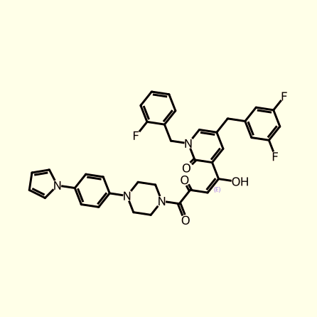 O=C(/C=C(/O)c1cc(Cc2cc(F)cc(F)c2)cn(Cc2ccccc2F)c1=O)C(=O)N1CCN(c2ccc(-n3cccc3)cc2)CC1